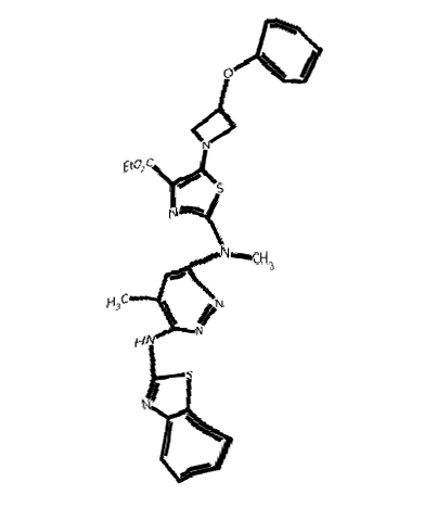 CCOC(=O)c1nc(N(C)c2cc(C)c(Nc3nc4ccccc4s3)nn2)sc1N1CC(Oc2ccccc2)C1